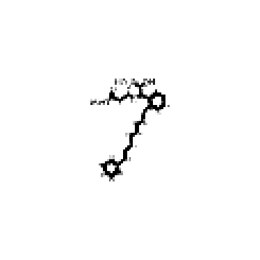 COC(=O)CCSC(c1ccccc1CCCCCCCCc1ccccc1)C(O)C(=O)O